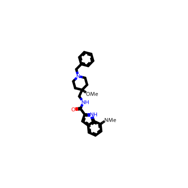 CNc1cccc2cc(C(=O)NCC3(OC)CCN(Cc4ccccc4)CC3)[nH]c12